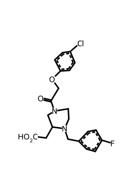 O=C(O)CC1CN(C(=O)COc2ccc(Cl)cc2)CCN1Cc1ccc(F)cc1